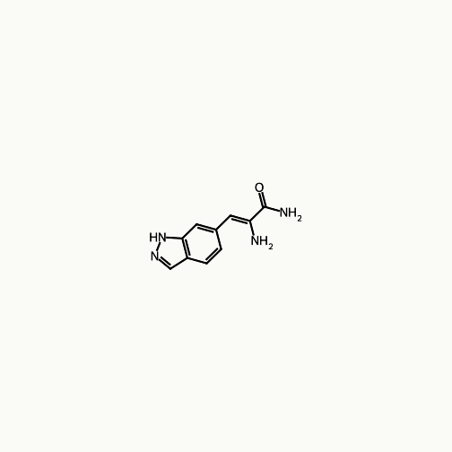 NC(=O)/C(N)=C/c1ccc2cn[nH]c2c1